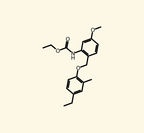 CCOC(=O)Nc1cc(OC)ccc1COc1ccc(CC)cc1C